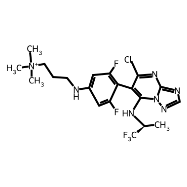 C[C@H](Nc1c(-c2c(F)cc(NCCC[N+](C)(C)C)cc2F)c(Cl)nc2ncnn12)C(F)(F)F